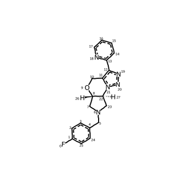 Fc1ccc(CN2C[C@@H]3OCc4c(-c5ccccn5)nnn4[C@H]3C2)cc1